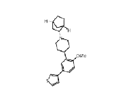 COc1ccc(-c2ccsc2)cc1C1CCN([C@@H]2C[C@H]3CC[C@H]2C3)CC1